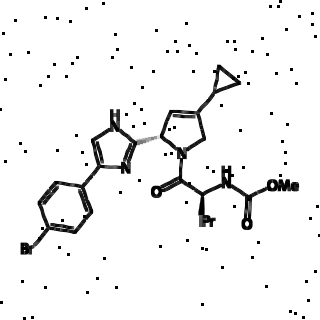 COC(=O)N[C@H](C(=O)N1CC(C2CC2)=C[C@H]1c1nc(-c2ccc(Br)cc2)c[nH]1)C(C)C